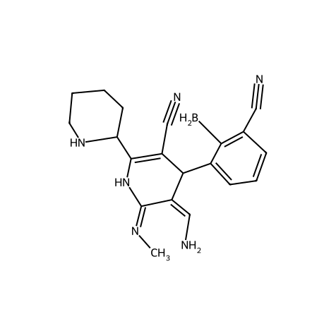 Bc1c(C#N)cccc1C1C(C#N)=C(C2CCCCN2)NC(=N/C)/C1=C\N